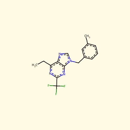 CCc1nc(C(F)(F)F)nc2c1ncn2Cc1cccc(C)c1